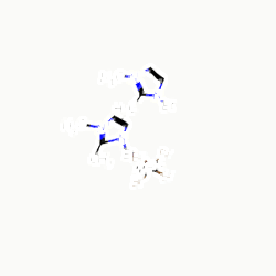 CCn1cc[n+](C)c1C.CCn1cc[n+](C)c1C.[Br][Mn-2]([Br])([Br])[Br]